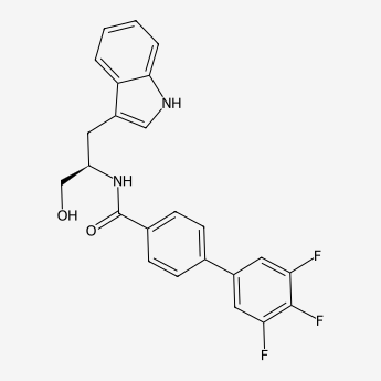 O=C(N[C@@H](CO)Cc1c[nH]c2ccccc12)c1ccc(-c2cc(F)c(F)c(F)c2)cc1